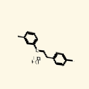 Cl.Cl.[CH2]c1ccc(CCOc2cccc(C)c2)cc1